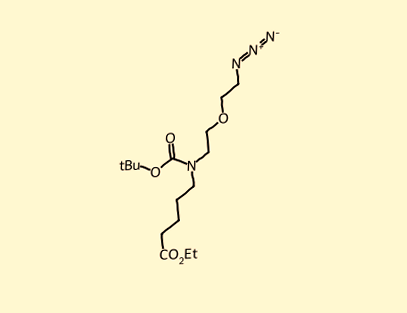 CCOC(=O)CCCCN(CCOCCN=[N+]=[N-])C(=O)OC(C)(C)C